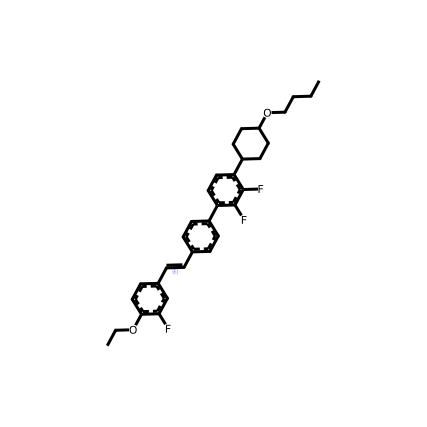 CCCCOC1CCC(c2ccc(-c3ccc(/C=C/c4ccc(OCC)c(F)c4)cc3)c(F)c2F)CC1